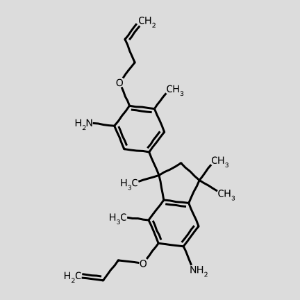 C=CCOc1c(C)cc(C2(C)CC(C)(C)c3cc(N)c(OCC=C)c(C)c32)cc1N